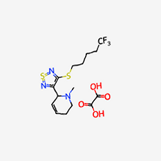 CN1CCC=CC1c1nsnc1SCCCCC(F)(F)F.O=C(O)C(=O)O